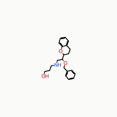 OCCCNCC(OCc1ccccc1)C1CCc2ccccc2O1